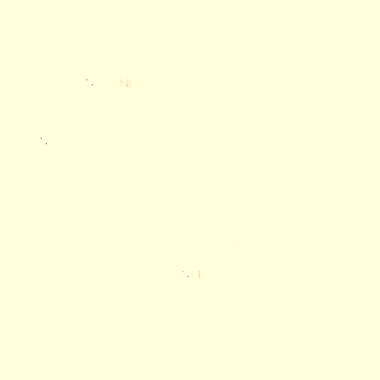 Nc1cc(C2CC(=O)Nc3n[nH]cc32)ccc1OCc1ccccc1C(F)(F)F